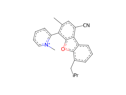 Cc1cc(C#N)c2c(oc3c(CC(C)C)cccc32)c1-c1cccc[n+]1C